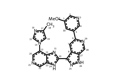 COc1cncc(-c2cc3c(-c4nc5c(-n6cnc(C)c6)cncc5[nH]4)n[nH]c3cn2)c1